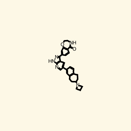 O=C1NCCOc2cc(-c3n[nH]c4ncc(-c5ccc6c(c5)CCC(N5CCC5)CC6)cc34)ccc21